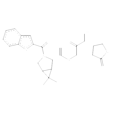 CC1(C)[C@@H]2[C@@H](C(=O)N[C@@H](C[C@@H]3CCNC3=O)C(=O)CO)N(C(=O)c3cc4ccccc4[nH]3)C[C@@H]21